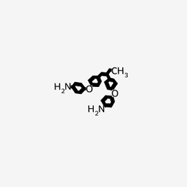 CCC(=Cc1ccc(Oc2ccc(N)cc2)cc1)c1ccc(Oc2ccc(N)cc2)cc1